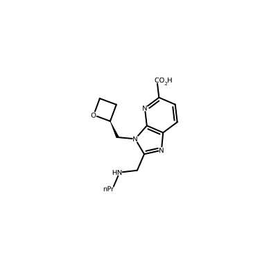 CCCNCc1nc2ccc(C(=O)O)nc2n1C[C@@H]1CCO1